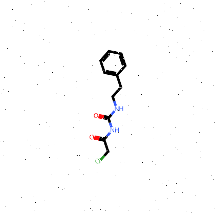 O=C(CCl)NC(=O)NCCc1ccccc1